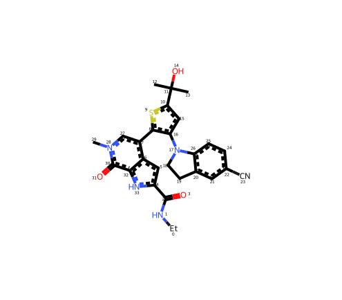 CCNC(=O)c1cc2c(-c3sc(C(C)(C)O)cc3N3CCc4cc(C#N)ccc43)cn(C)c(=O)c2[nH]1